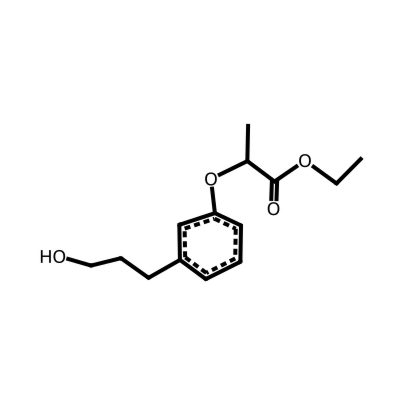 CCOC(=O)C(C)Oc1cccc(CCCO)c1